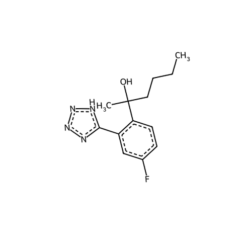 CCCCC(C)(O)c1ccc(F)cc1-c1nnn[nH]1